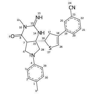 Cc1ccc(N2CC3C(=O)N(C)C(=N)N[C@@]3(C3CC(c4cccc(C#N)c4)=CS3)C2)cc1